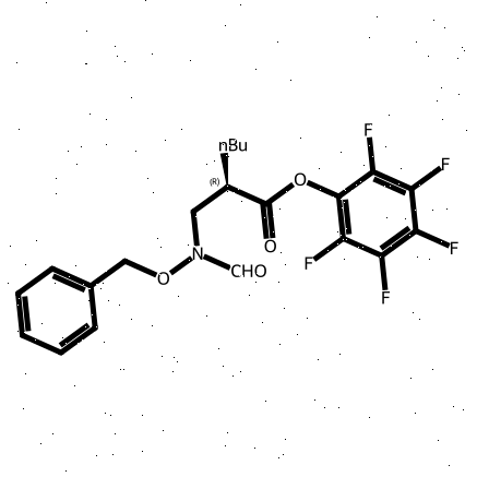 CCCC[C@H](CN(C=O)OCc1ccccc1)C(=O)Oc1c(F)c(F)c(F)c(F)c1F